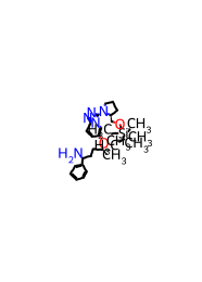 CC(C)[Si](OC[C@@H]1CCCN1c1nnc2ccc(O[C@@H](C)CC[C@H](N)c3ccccc3)cn12)(C(C)C)C(C)C